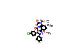 CCCOc1cc(OC)ccc1C1=N[C@H](c2ccc(Cl)cc2)[C@H](c2ccc(Cl)cc2)N1C(=O)N1CCN(CC=O)C(=O)C1